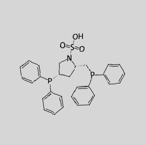 O=S(=O)(O)N1C[C@@H](P(c2ccccc2)c2ccccc2)C[C@H]1CP(c1ccccc1)c1ccccc1